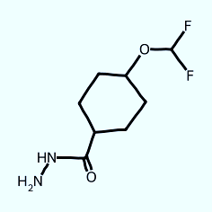 NNC(=O)C1CCC(OC(F)F)CC1